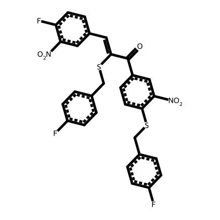 O=C(C(=Cc1ccc(F)c([N+](=O)[O-])c1)SCc1ccc(F)cc1)c1ccc(SCc2ccc(F)cc2)c([N+](=O)[O-])c1